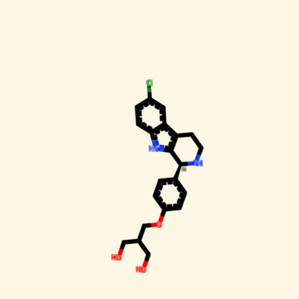 OCC(CO)COc1ccc([C@@H]2NCCc3c2[nH]c2ccc(Cl)cc32)cc1